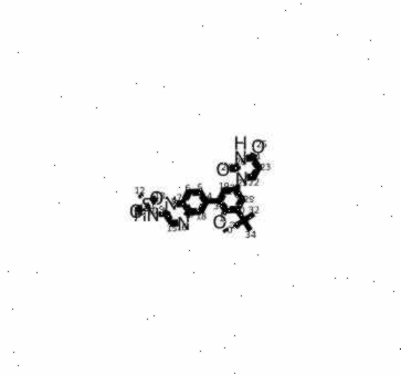 COc1c(-c2ccc3nc(NS(C)(=O)=O)cnc3c2)cc(-n2ccc(=O)[nH]c2=O)cc1C(C)(C)C